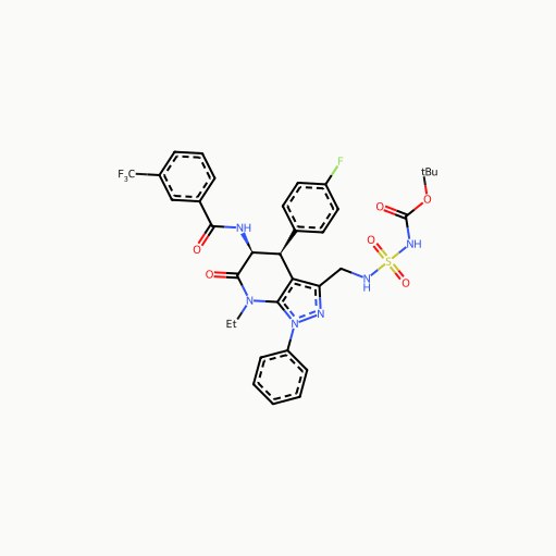 CCN1C(=O)[C@@H](NC(=O)c2cccc(C(F)(F)F)c2)[C@@H](c2ccc(F)cc2)c2c(CNS(=O)(=O)NC(=O)OC(C)(C)C)nn(-c3ccccc3)c21